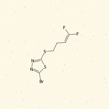 FC(F)=CCCSc1nnc(Br)s1